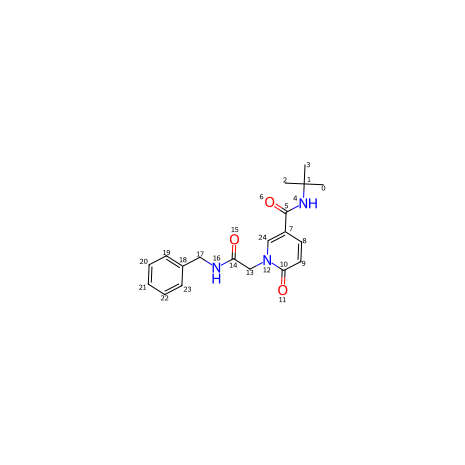 CC(C)(C)NC(=O)c1ccc(=O)n(CC(=O)NCc2ccccc2)c1